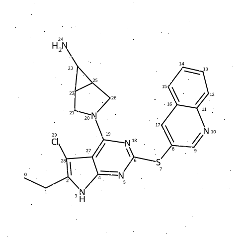 CCc1[nH]c2nc(Sc3cnc4ccccc4c3)nc(N3CC4C(N)C4C3)c2c1Cl